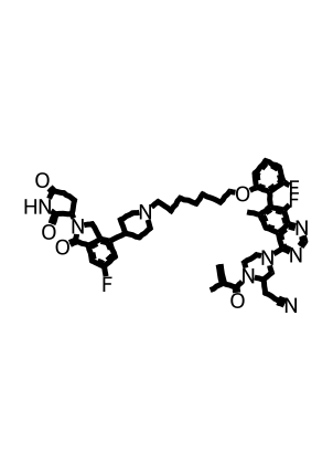 C=C(C)C(=O)N1CCN(c2ncnc3c(F)c(-c4c(F)cccc4OCCCCCCCN4CCC(c5cc(F)cc6c5CN(C5CCC(=O)NC5=O)C6=O)CC4)c(C)cc23)CC1CC#N